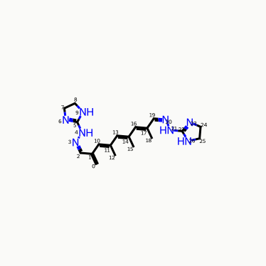 C=C(/C=N\NC1=NCCN1)/C=C(C)/C=C(C)/C=C(C)/C=N\NC1=NCCN1